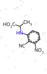 CC(Nc1cccc([N+](=O)[O-])c1C#N)C(=O)O